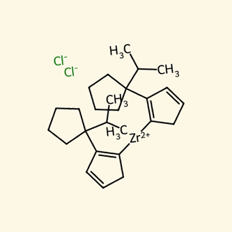 CC(C)C1(C2=[C]([Zr+2][C]3=C(C4(C(C)C)CCCC4)C=CC3)CC=C2)CCCC1.[Cl-].[Cl-]